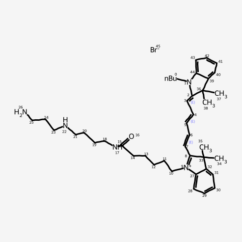 CCCCN1/C(=C/C=C/C=C/C2=[N+](CCCCCC(=O)NCCCCNCCCN)c3ccccc3C2(C)C)C(C)(C)c2ccccc21.[Br-]